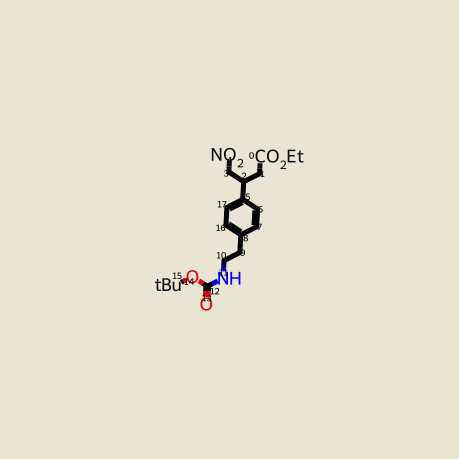 CCOC(=O)CC(C[N+](=O)[O-])c1ccc(CCNC(=O)OC(C)(C)C)cc1